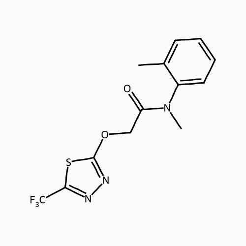 Cc1ccccc1N(C)C(=O)COc1nnc(C(F)(F)F)s1